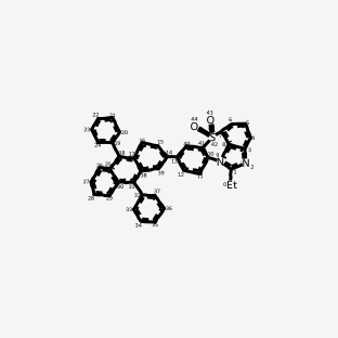 CCc1nc2cccc3c2n1-c1ccc(-c2ccc4c(-c5ccccc5)c5ccccc5c(-c5ccccc5)c4c2)cc1S3(=O)=O